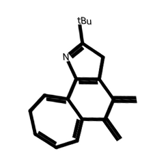 C=c1c2c(c3c(c1=C)=CC=CCC=3)N=C(C(C)(C)C)C2